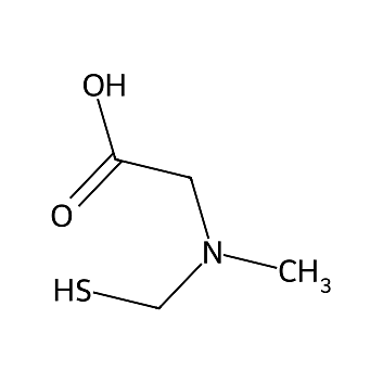 CN(CS)CC(=O)O